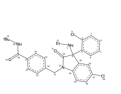 CCNC1(c2ccccc2Cl)C(=O)N(Cc2ccc(C(=O)NC(C)(C)C)cc2)c2ccc(Cl)cc21